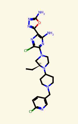 CC[C@H]1CN(c2nc(N)c(-c3nnc(N)o3)nc2Cl)CCN1C1CCN(Cc2ccc(Cl)nc2)CC1